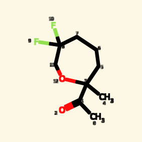 CC(=O)C1(C)CCCC(F)(F)CO1